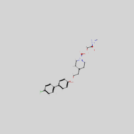 CNC(=O)COC(=O)N1CCC(CCOc2ccc(-c3ccc(Cl)cc3)cc2)CC1